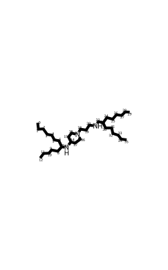 CCCCCCCC(CCCCC)NC1CCN(CCCNCC(CCCCCC)CCCCCC)CC1